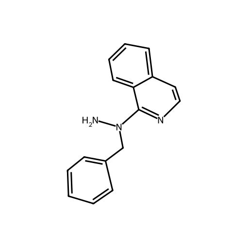 NN(Cc1ccccc1)c1nccc2ccccc12